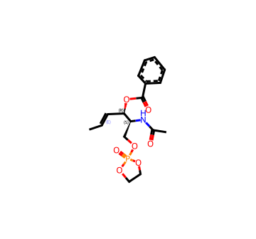 C/C=C/[C@@H](OC(=O)c1ccccc1)[C@H](COP1(=O)OCCO1)NC(C)=O